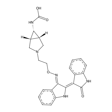 O=C(O)N[C@@H]1[C@@H]2CN(CCO/N=C3/C(=C4/C(=O)Nc5ccccc54)Nc4ccccc43)C[C@@H]21